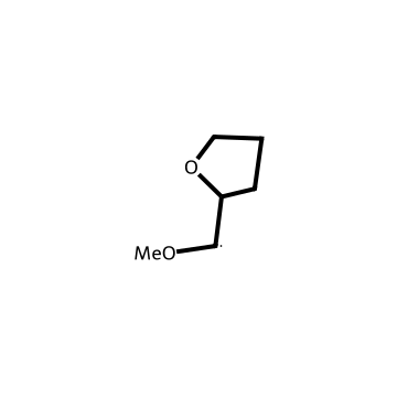 CO[CH]C1CCCO1